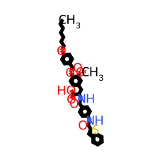 CCCCCCCOc1ccc(C(=O)Oc2ccc(CC(NC(=O)c3ccc(NC(=O)c4cc5ccccc5s4)cc3)C(=O)O)cc2OC)cc1